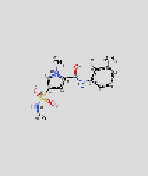 Cc1cccc(NC(=O)c2cc(S(=O)(=O)NC(C)C)cn2C)c1F